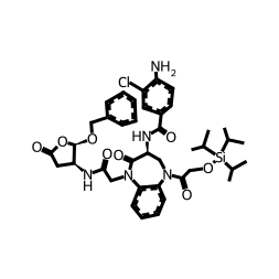 CC(C)[Si](OCC(=O)N1C[C@H](NC(=O)c2ccc(N)c(Cl)c2)C(=O)N(CC(=O)N[C@H]2CC(=O)O[C@H]2OCc2ccccc2)c2ccccc21)(C(C)C)C(C)C